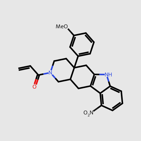 C=CC(=O)N1CCC2(c3cccc(OC)c3)Cc3[nH]c4cccc([N+](=O)[O-])c4c3CC2C1